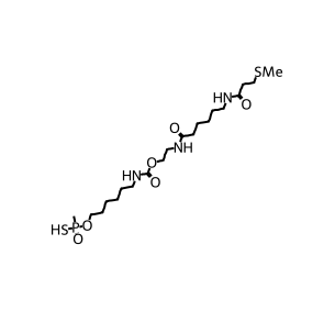 CSCCC(=O)NCCCCCC(=O)NCCOC(=O)NCCCCCCOP(C)(=O)S